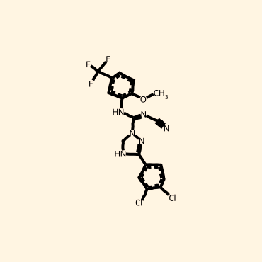 COc1ccc(C(F)(F)F)cc1N/C(=N/C#N)N1CNC(c2ccc(Cl)c(Cl)c2)=N1